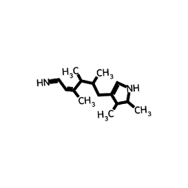 C/C(=C/C=N)C(C)C(C)CC1=CNC(C)C1C